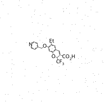 CCc1cc2c(cc1OCc1ccncc1)OC(C(F)(F)F)C(C(=O)O)=C2